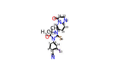 CC1(C)C(=O)N(c2ccc(C#N)c(I)c2)C(=S)N1c1ccc2nccc(=O)n2c1